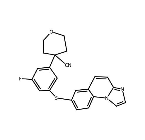 N#CC1(c2cc(F)cc(Sc3ccc4c(ccc5nccn54)c3)c2)CCOCC1